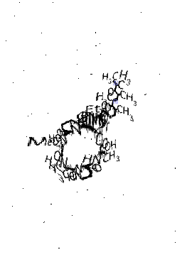 C/C=C(\C)C(=O)C(C)/C=C(\C)C1O[C@@](O)([C@@](O)(CC)C(=O)N[C@@H]2C(=O)N3NCCC[C@@H]3C(=O)N(O)[C@@H](COC)C(=O)N(C)[C@H](C)C(=O)N3NCCC[C@@H]3C(=O)N[C@H]([C@H](C)O)C(=O)O[C@H]2C(C)C)CC[C@@H]1C